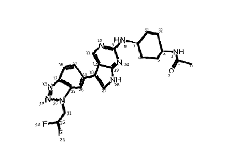 CC(=O)N[C@H]1CC[C@@H](Nc2ncc3c(-c4ccc5nnn(CC(F)F)c5c4)c[nH]c3n2)CC1